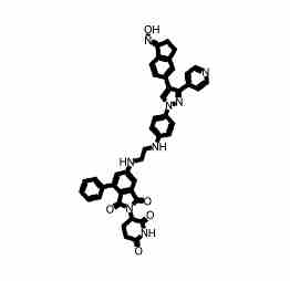 O=C1CCC(N2C(=O)c3cc(NCCNc4ccc(-n5cc(-c6ccc7c(c6)CC/C7=N\O)c(-c6ccncc6)n5)cc4)cc(-c4ccccc4)c3C2=O)C(=O)N1